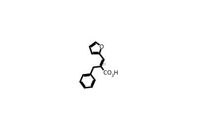 O=C(O)/C(=C/c1ccco1)Cc1ccccc1